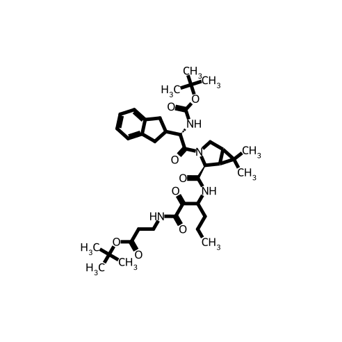 CCCC(NC(=O)[C@@H]1C2C(CN1C(=O)[C@@H](NC(=O)OC(C)(C)C)C1Cc3ccccc3C1)C2(C)C)C(=O)C(=O)NCCC(=O)OC(C)(C)C